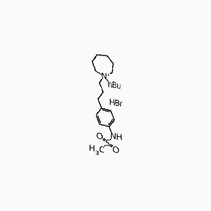 Br.CCCC[N+]1(CCCc2ccc(NS(C)(=O)=O)cc2)CCCCCC1